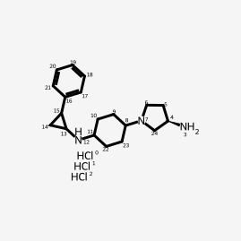 Cl.Cl.Cl.N[C@@H]1CCN(C2CCC(NC3CC3c3ccccc3)CC2)C1